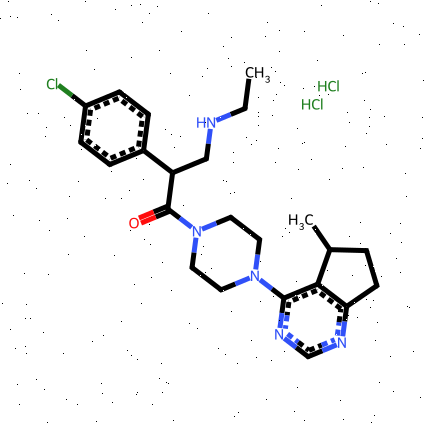 CCNCC(C(=O)N1CCN(c2ncnc3c2C(C)CC3)CC1)c1ccc(Cl)cc1.Cl.Cl